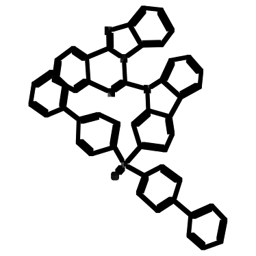 O=P(c1ccc(-c2ccccc2)cc1)(c1ccc(-c2ccccc2)cc1)c1ccc2c3ccccc3n(-c3nc4ccccc4c4nc5ccccc5n34)c2c1